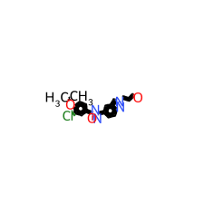 CC(C)Oc1ccc(-c2nc(-c3ccc4nn(CCC=O)cc4c3)no2)cc1Cl